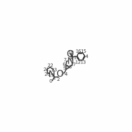 CC(COCC1C2CN(C(=O)c3ccccc3)CC12)N1CCCC1